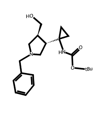 CC(C)(C)OC(=O)NC1([C@@H]2CN(Cc3ccccc3)C[C@H]2CO)CC1